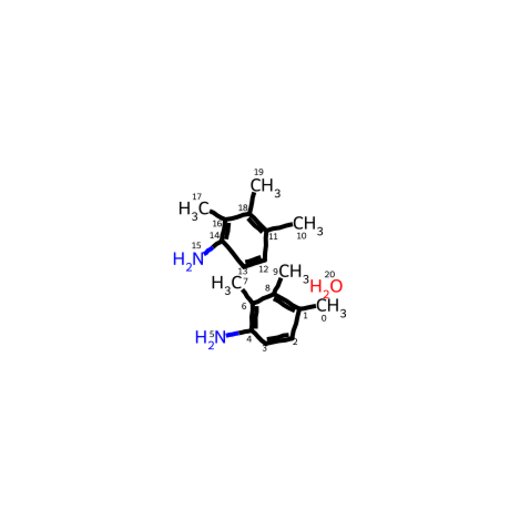 Cc1ccc(N)c(C)c1C.Cc1ccc(N)c(C)c1C.O